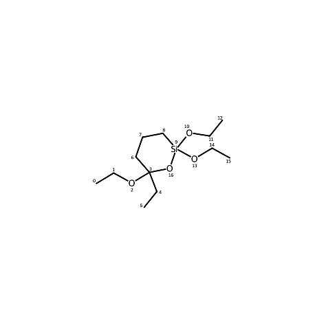 CCOC1(CC)CCC[Si](OCC)(OCC)O1